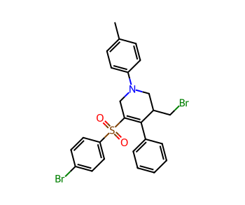 Cc1ccc(N2CC(S(=O)(=O)c3ccc(Br)cc3)=C(c3ccccc3)C(CBr)C2)cc1